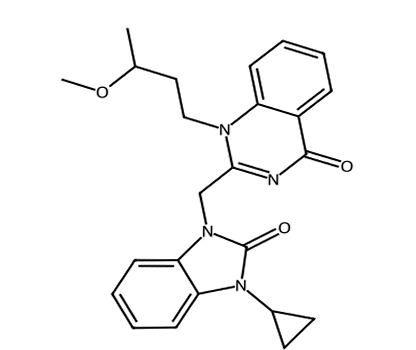 COC(C)CCn1c(Cn2c(=O)n(C3CC3)c3ccccc32)nc(=O)c2ccccc21